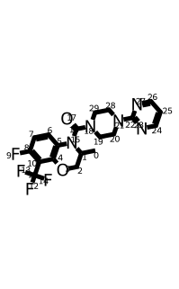 CC1COc2c(ccc(F)c2C(F)(F)F)N1C(=O)N1CCN(c2ncccn2)CC1